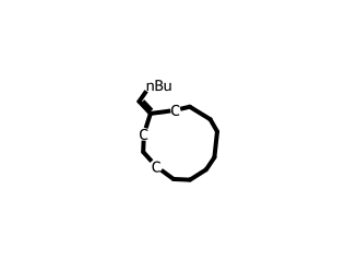 [CH2]CCCC=C1CCCCCCCCCCC1